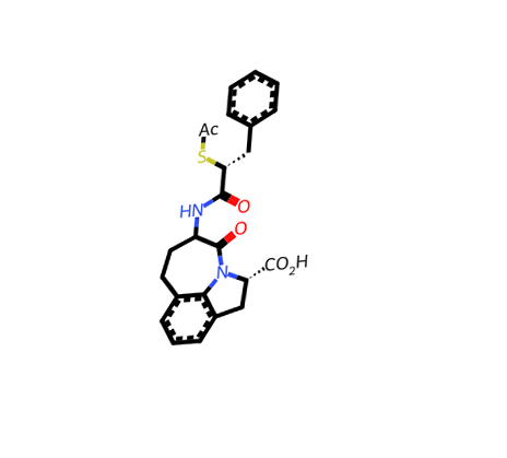 CC(=O)S[C@H](Cc1ccccc1)C(=O)NC1CCc2cccc3c2N(C1=O)[C@H](C(=O)O)C3